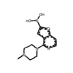 CN1CCN(c2nccc3oc(B(O)O)cc23)CC1